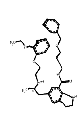 C[C@H](Cc1cc2c(c(C(=O)NCCCOCc3ccccc3)c1)NCC2)NCCOc1ccccc1OCC(F)(F)F